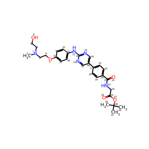 CN(CCO)CCOc1ccc(Nc2ncc(-c3ccc(C(=O)NCC(=O)OC(C)(C)C)cc3)cn2)cc1